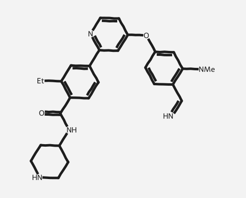 CCc1cc(-c2cc(Oc3ccc(C=N)c(NC)c3)ccn2)ccc1C(=O)NC1CCNCC1